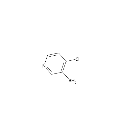 Bc1cnccc1Cl